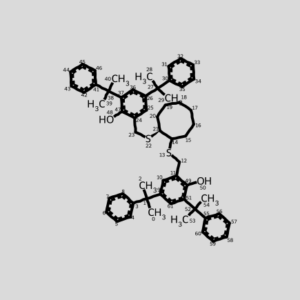 CC(C)(c1ccccc1)c1cc(CSC2CCCCCC[C@@H]2SCc2cc(C(C)(C)c3ccccc3)cc(C(C)(C)c3ccccc3)c2O)c(O)c(C(C)(C)c2ccccc2)c1